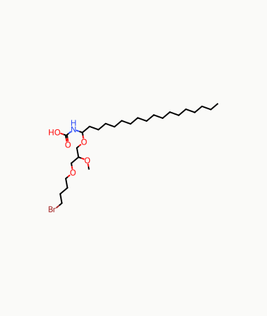 CCCCCCCCCCCCCCCCCC(NC(=O)O)OCC(COCCCCBr)OC